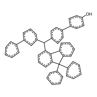 Oc1ccc(-c2ccc(C(c3cccc(-c4ccccc4)c3)c3cccc4c3-c3ccccc3C4(c3ccccc3)c3ccccc3)cc2)cc1